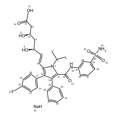 CC(C)n1c(C=C[C@@H](O)C[C@@H](O)CC(=O)O)c(-c2ccc(F)cc2)c(-c2ccccc2)c1C(=O)Nc1cccc(S(N)(=O)=O)c1.[NaH]